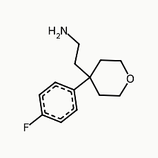 NCCC1(c2ccc(F)cc2)CCOCC1